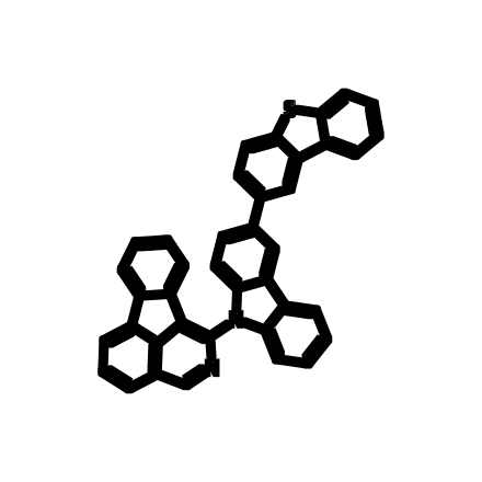 c1ccc2c(c1)-c1cccc3cnc(-n4c5ccccc5c5cc(-c6ccc7sc8ccccc8c7c6)ccc54)c-2c13